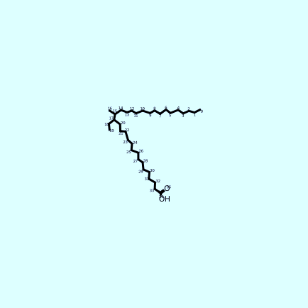 CCCCCCCCCCCCCCCC(C)C(CC)CCCCCCCCCCCCCCC(=O)O